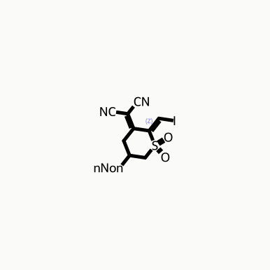 CCCCCCCCCC1CC(=C(C#N)C#N)/C(=C/I)S(=O)(=O)C1